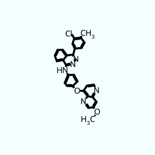 COc1cnc2c(Oc3ccc(Nc4nnc(-c5ccc(C)c(Cl)c5)c5ccccc45)cc3)ccnc2c1